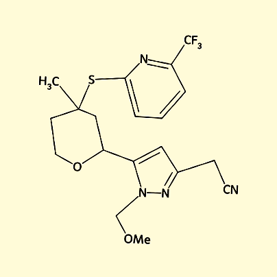 COCn1nc(CC#N)cc1C1CC(C)(Sc2cccc(C(F)(F)F)n2)CCO1